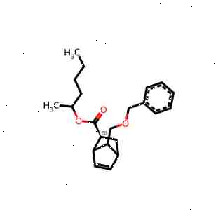 CCCCC(C)OC(=O)[C@H]1CC2C=CC1C2COCc1ccccc1